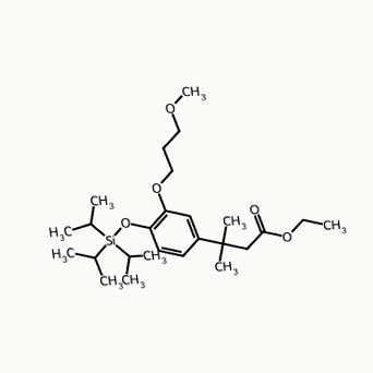 CCOC(=O)CC(C)(C)c1ccc(O[Si](C(C)C)(C(C)C)C(C)C)c(OCCCOC)c1